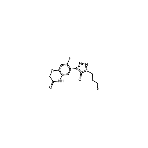 O=C1COc2cc(F)c(-n3nnn(CCCF)c3=O)cc2N1